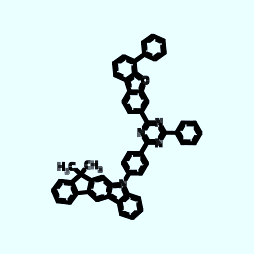 CC1(C)c2ccccc2-c2cc3c4ccccc4n(-c4ccc(-c5nc(-c6ccccc6)nc(-c6ccc7c(c6)oc6c(-c8ccccc8)cccc67)n5)cc4)c3cc21